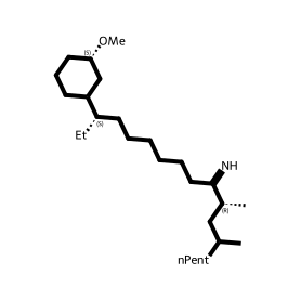 CCCCCC(C)C[C@@H](C)C(=N)CCCCCC[C@H](CC)C1CCC[C@H](OC)C1